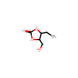 CCC1OC(=O)OC1CO